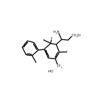 CCOC(=O)CC(N)C1C(F)=C(C(F)(F)F)C=C(c2ccccc2C)C1(C)F.Cl